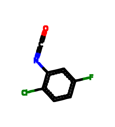 O=C=Nc1cc(F)ccc1Cl